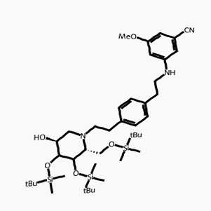 COc1cc(C#N)cc(NCCc2ccc(CCN3C[C@H](O)C(O[Si](C)(C)C(C)(C)C)C(O[Si](C)(C)C(C)(C)C)[C@H]3CO[Si](C)(C)C(C)(C)C)cc2)c1